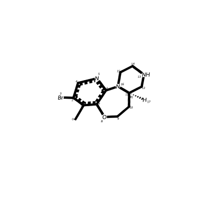 Cc1c(Br)cnc2c1OCC[C@@H]1CNCCN21